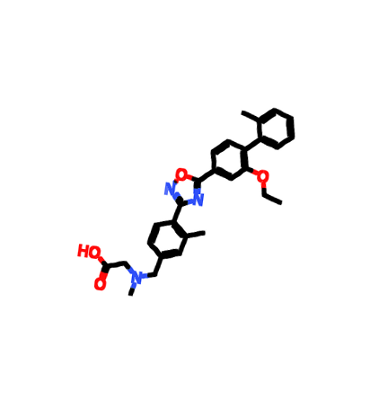 CCOc1cc(-c2nc(-c3ccc(CN(C)CC(=O)O)cc3C)no2)ccc1-c1ccccc1C